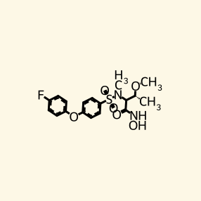 CO[C@H](C)C(C(=O)NO)N(C)S(=O)(=O)c1ccc(Oc2ccc(F)cc2)cc1